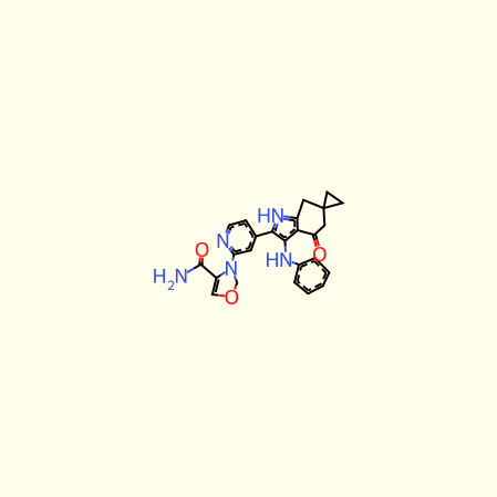 NC(=O)C1=COCN1c1cc(-c2[nH]c3c(c2Nc2ccccc2)C(=O)CC2(CC2)C3)ccn1